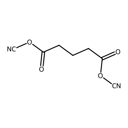 N#COC(=O)CCCC(=O)OC#N